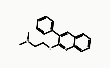 CN(C)CCSc1nc2ccccc2cc1-c1ccccc1